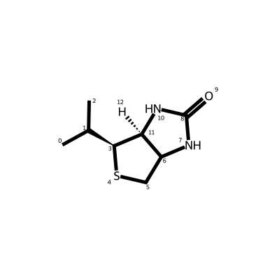 CC(C)[C@@H]1SCC2NC(=O)N[C@@H]21